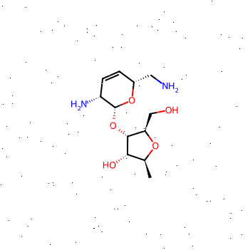 C[C@@H]1O[C@H](CO)[C@@H](O[C@H]2O[C@@H](CN)C=C[C@H]2N)[C@H]1O